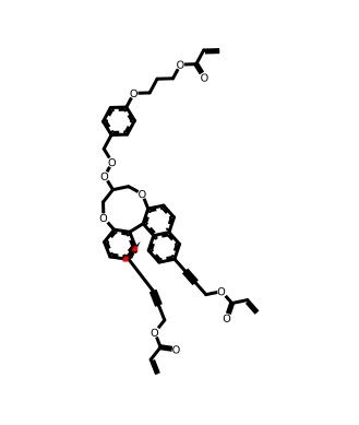 C=CC(=O)OCC#Cc1ccc2c3c(ccc2c1)OCC(OOCc1ccc(OCCCOC(=O)C=C)cc1)COc1ccc2cc(C#CCOC(=O)C=C)ccc2c1-3